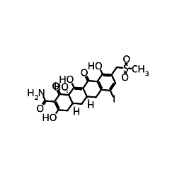 CS(=O)(=O)Cc1cc(I)c2c(c1O)C(=O)C1=C(O)[C@]3(O)C(=O)C(C(N)=O)=C(O)C[C@@H]3C[C@@H]1C2